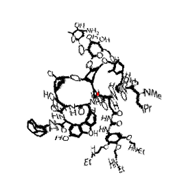 CCNCCOc1cc(NC(=O)NC(=O)C[C@@H]2NC(=O)[C@H](NC(=O)[C@@H](CC(C)C)NC)[C@H](O)c3ccc(c(C)c3)Oc3cc4cc(c3O[C@@H]3O[C@H](CO)[C@@H](O)[C@H](O)[C@H]3O[C@H]3C[C@](C)(N)[C@H](O)[C@H](C)O3)Oc3ccc(cc3Cl)[C@@H](O)[C@@H]3NC(=O)[C@H](NC(=O)[C@@H]4NC2=O)c2ccc(O)c(c2)-c2c(C)cc(O)cc2[C@@H](C(=O)NC2C4CC5CC(C4)CC2C5)NC3=O)cc(OCCNCC)c1OCCNCC